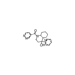 O=C(c1ccnnc1)N1CC[C@@](O)(c2ccccc2)[C@@H]2CCCCC21